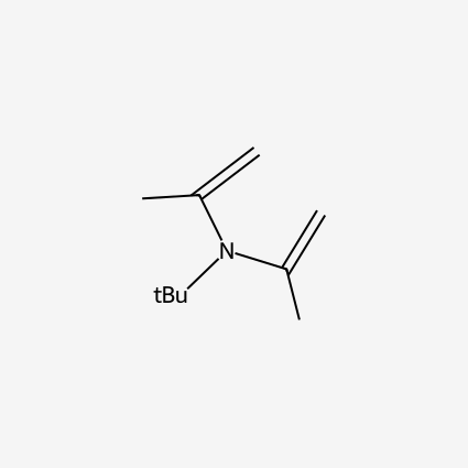 C=C(C)N(C(=C)C)C(C)(C)C